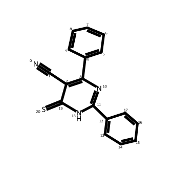 N#Cc1c(-c2ccccc2)nc(-c2ccccc2)[nH]c1=S